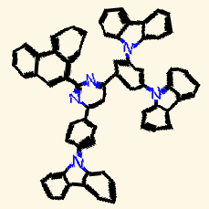 c1ccc2c(c1)cc(-c1nc(-c3ccc(-n4c5ccccc5c5ccccc54)cc3)cc(-c3cc(-n4c5ccccc5c5ccccc54)cc(-n4c5ccccc5c5ccccc54)c3)n1)c1ccccc12